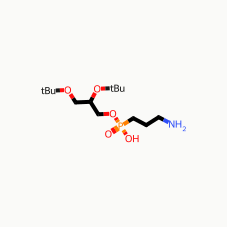 CC(C)(C)OCC(COP(=O)(O)CCCN)OC(C)(C)C